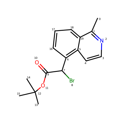 Cc1nccc2c(C(Br)C(=O)OC(C)(C)C)cccc12